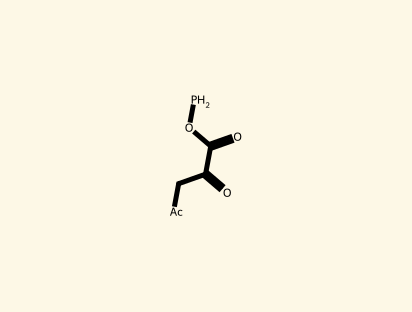 CC(=O)CC(=O)C(=O)OP